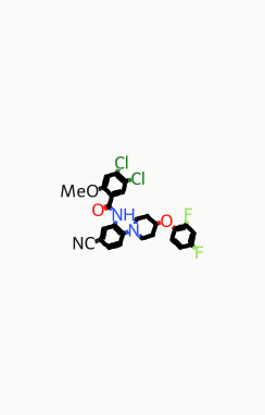 COc1cc(Cl)c(Cl)cc1C(=O)Nc1cc(C#N)ccc1N1CCC(Oc2ccc(F)cc2F)CC1